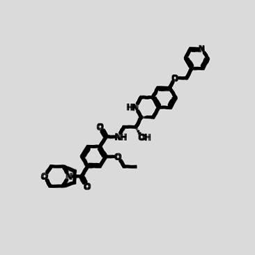 CCOc1cc(C(=O)N2C3CCC2COC3)ccc1C(=O)NC[C@@H](O)[C@@H]1Cc2ccc(OCc3ccncc3)cc2CN1